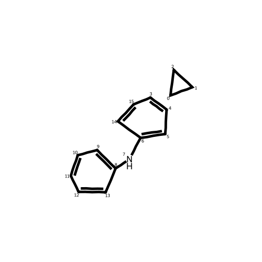 C1CC1.c1ccc(Nc2ccccc2)cc1